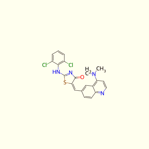 CN(C)c1ccnc2ccc(C=C3SC(Nc4c(Cl)cccc4Cl)=NC3=O)cc12